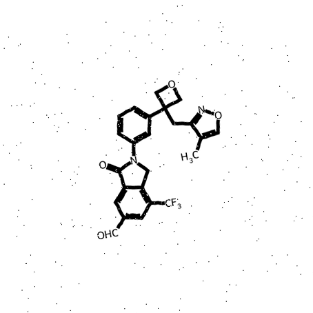 Cc1conc1CC1(c2cccc(N3Cc4c(cc(C=O)cc4C(F)(F)F)C3=O)c2)COC1